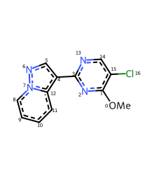 COc1nc(-c2cnn3ccccc23)ncc1Cl